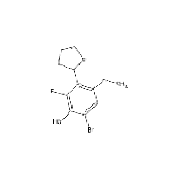 CCc1cc(Br)c(O)c(F)c1C1CCCO1